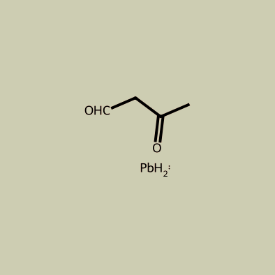 CC(=O)CC=O.[PbH2]